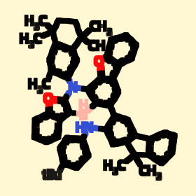 Cc1cc2c(cc1N1c3oc4ccccc4c3Bc3c(-c4cc5c(cc4Nc4ccc(C(C)(C)C)cc4)C(C)(C)c4ccccc4-5)cc4c(oc5ccccc54)c31)C(C)(C)CCC2(C)C